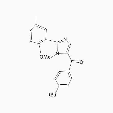 COc1ccc(C)cc1-c1ncc(C(=O)c2ccc(C(C)(C)C)cc2)n1C